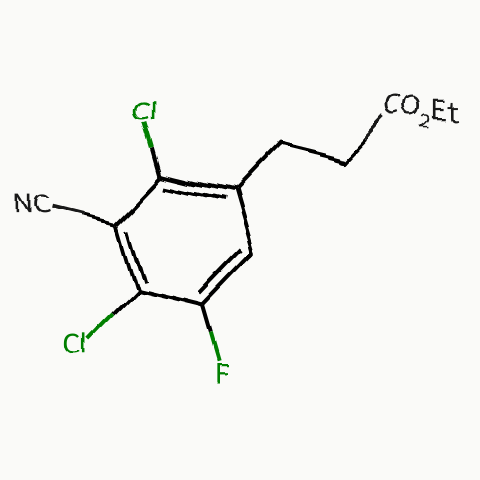 CCOC(=O)CCc1cc(F)c(Cl)c(C#N)c1Cl